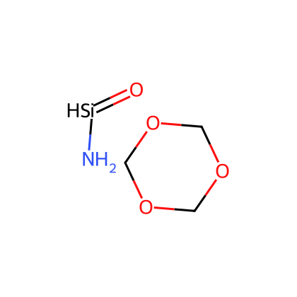 C1OCOCO1.N[SiH]=O